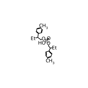 CCC(COP(=O)(O)OCC(CC)c1ccc(C)cc1)c1ccc(C)cc1